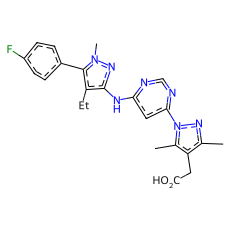 CCc1c(Nc2cc(-n3nc(C)c(CC(=O)O)c3C)ncn2)nn(C)c1-c1ccc(F)cc1